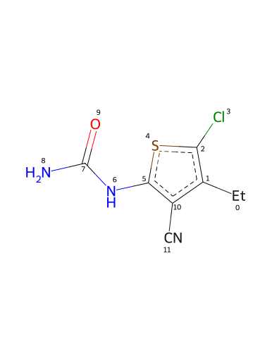 CCc1c(Cl)sc(NC(N)=O)c1C#N